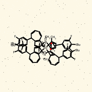 CC1=CC2=C(C=CC=CC2c2cc(F)c(C(C)(C)C)c(F)c2)[C]12[SiH](C)[C]1(C(C)=CC3=C1C=CC=CC3c1cc(F)c(C(C)(C)C)c(F)c1)[Hf]21([Cl])([Cl])[C]2(C(C)=CC3=C2C=CC=CC3c2cc(F)c(C(C)(C)C)c(F)c2)[SiH](C)[C]12C(C)=CC1=C2C=CC=CC1c1cc(F)c(C(C)(C)C)c(F)c1